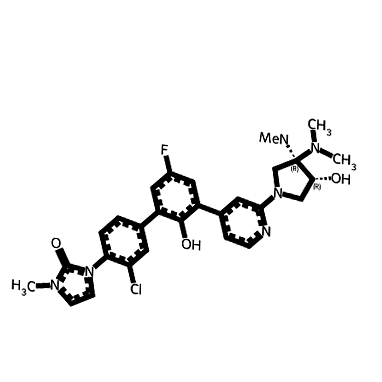 CN[C@@]1(N(C)C)CN(c2cc(-c3cc(F)cc(-c4ccc(-n5ccn(C)c5=O)c(Cl)c4)c3O)ccn2)C[C@H]1O